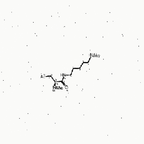 CNCCCCCNC(=O)[C@H](CC(C)=O)NC